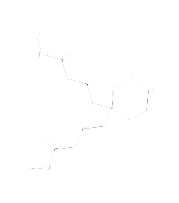 CNC(=O)CC(=O)CC1(CC(=O)CC(=O)NC)CCCCC1